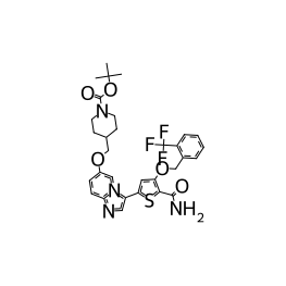 CC(C)(C)OC(=O)N1CCC(COc2ccc3ncc(-c4cc(OCc5ccccc5C(F)(F)F)c(C(N)=O)s4)n3c2)CC1